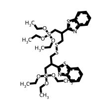 CCO[Si](CC(CSSCC(C[Si](OCC)(OCC)OCC)c1nc2ccccc2s1)c1nc2ccccc2s1)(OCC)OCC